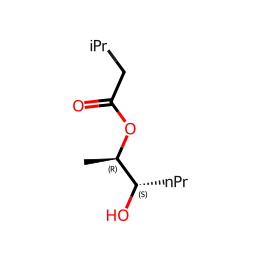 CCC[C@H](O)[C@@H](C)OC(=O)CC(C)C